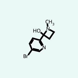 CN1CCC1(O)c1ccc(Br)cn1